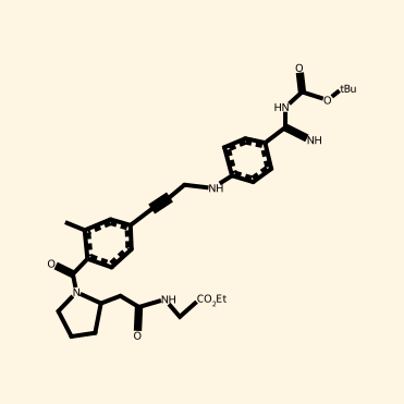 CCOC(=O)CNC(=O)CC1CCCN1C(=O)c1ccc(C#CCNc2ccc(C(=N)NC(=O)OC(C)(C)C)cc2)cc1C